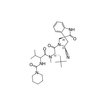 CC(C)C(NC(=O)N1CCCCC1)C(=O)N(C)[C@@H](CC(C)(C)C)C(=O)N1C[C@]2(C[C@H]1C#N)C(=O)Nc1ccccc12